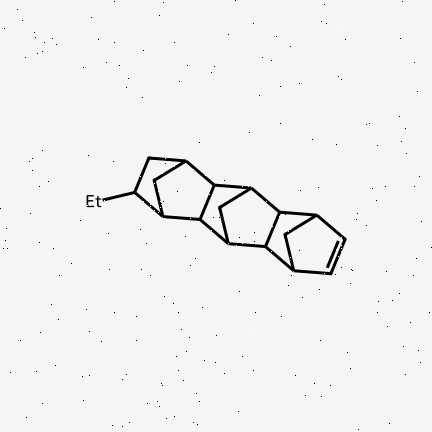 CCC1CC2CC1C1C3CC(C4C5C=CC(C5)C34)C21